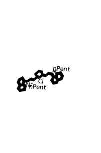 CCCCCn1/c(=C/C=C2\CCCC(/C=C/C3=[N+](CCCCC)c4cccc5cccc3c45)=C2Cl)c2cccc3cccc1c32